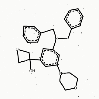 OC1(c2cc(N3CCOCC3)cc(N(Cc3ccccc3)Cc3ccccc3)c2)COC1